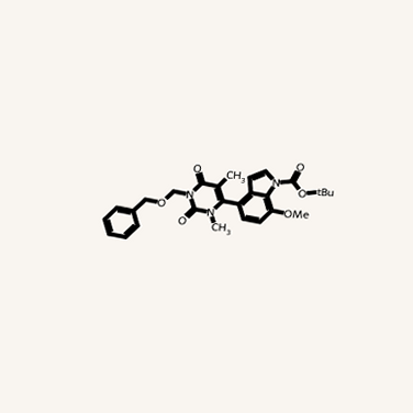 COc1ccc(-c2c(C)c(=O)n(COCc3ccccc3)c(=O)n2C)c2ccn(C(=O)OC(C)(C)C)c12